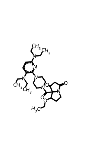 CCOC1CCN2C(=O)CC(=O)C12C(=O)N1CCN(c2nc(N(CC)CC)ccc2N(CC)CC)CC1